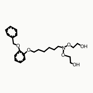 OCCON(CCCCCCOc1ccccc1OCc1ccccc1)OCCO